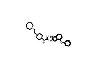 O=C(NC1CCN(CCN2CCCCCC2)CC1)Oc1cc2c(Oc3ccccc3)cccc2[nH]1